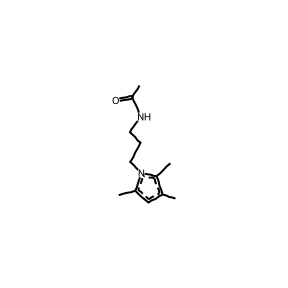 CC(=O)NCCCn1c(C)cc(C)c1C